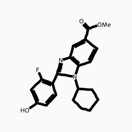 COC(=O)c1ccc2c(c1)nc(-c1ccc(O)cc1F)n2C1CCCCC1